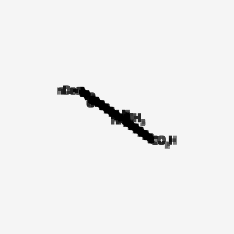 CCCCCCCCCCCCCCOC(=O)CCCCCCCCCCCNC(CCCCCCCCCCCC(=O)O)C(C)N